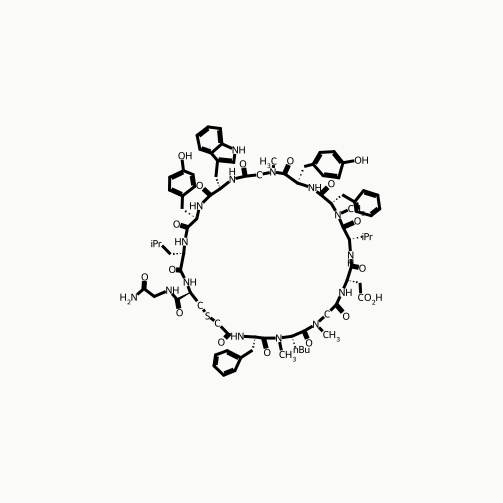 CCCC[C@H]1C(=O)N(C)CC(=O)N[C@@H](CC(=O)O)C(=O)N[C@@H](C(C)C)C(=O)N(C)[C@@H](Cc2ccccc2)C(=O)N[C@@H](Cc2ccc(O)cc2)C(=O)N(C)CC(=O)N[C@@H](Cc2c[nH]c3ccccc23)C(=O)N[C@@H](Cc2ccc(O)cc2)C(=O)N[C@@H](CC(C)C)C(=O)N[C@H](C(=O)NCC(N)=O)CSCC(=O)N[C@@H](Cc2ccccc2)C(=O)N1C